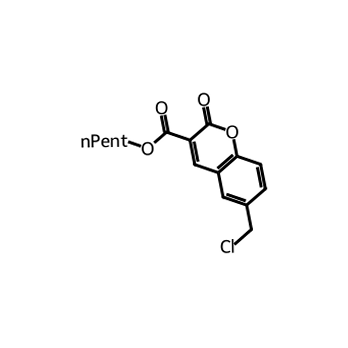 CCCCCOC(=O)c1cc2cc(CCl)ccc2oc1=O